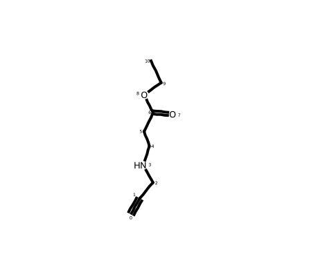 C#CCNCCC(=O)OCC